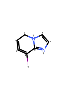 IC1=C=CCn2ccnc21